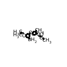 Bc1cc(OCC(C)C)cc(Oc2ccc(OCC(=O)OCC)c(C)c2)c1